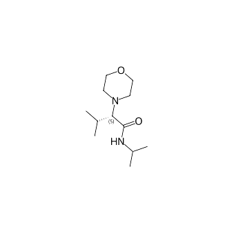 CC(C)NC(=O)[C@H](C(C)C)N1CCOCC1